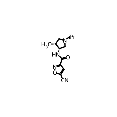 CC(C)N1C[C@H](C)[C@H](NC(=O)c2cc(C#N)on2)C1